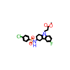 COC(=O)CCn1c2c(c3cc(F)ccc31)CC(NS(=O)(=O)c1ccc(Cl)cc1)CC2